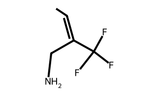 C/C=C(\CN)C(F)(F)F